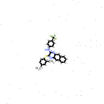 Cc1ccc(Sc2nc3cc4ccccc4cc3nc2Nc2ccc(C(F)(F)F)cc2)c(C)c1